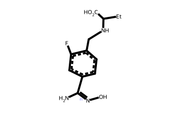 CCC(NCc1ccc(/C(N)=N\O)cc1F)C(=O)O